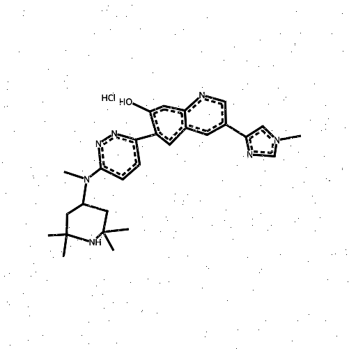 CN(c1ccc(-c2cc3cc(-c4cn(C)cn4)cnc3cc2O)nn1)C1CC(C)(C)NC(C)(C)C1.Cl